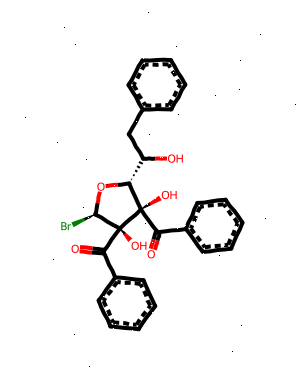 O=C(c1ccccc1)[C@@]1(O)[C@@H](C(O)Cc2ccccc2)O[C@H](Br)[C@@]1(O)C(=O)c1ccccc1